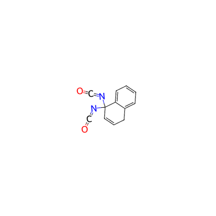 O=C=NC1(N=C=O)C=CCc2ccccc21